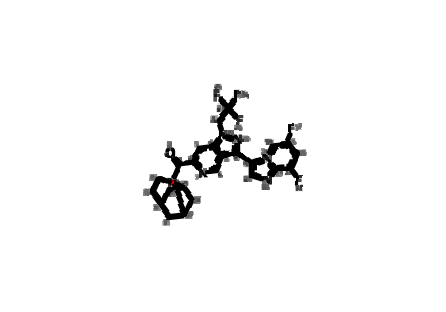 O=C(c1cc2c(cn1)c(-c1cnc3c(F)cc(F)cn13)nn2CC(F)(F)F)N1C2CC3CC(C2)CC1C3